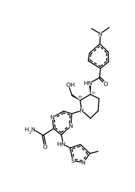 Cc1cc(Nc2nc(N3CCC[C@H](NC(=O)c4ccc(N(C)C)cc4)[C@@H]3CO)cnc2C(N)=O)sn1